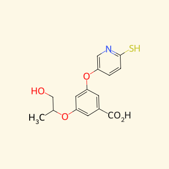 CC(CO)Oc1cc(Oc2ccc(S)nc2)cc(C(=O)O)c1